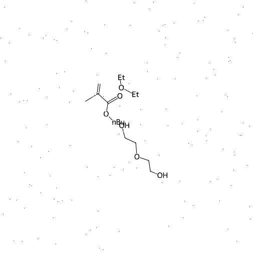 C=C(C)C(=O)OCCCC.CCOCC.OCCOCCO